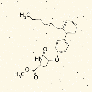 CCCCCCc1ccccc1-c1ccc(OC2CC(C(=O)OC)NC2=O)cc1